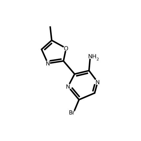 Cc1cnc(-c2nc(Br)cnc2N)o1